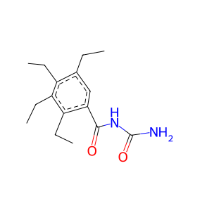 CCc1cc(C(=O)NC(N)=O)c(CC)c(CC)c1CC